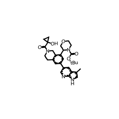 Cc1c[nH]c2ncc(-c3cc4c(c(C5COCCN5C(=O)OC(C)(C)C)c3)CN(C(=O)C3(O)CC3)CC4)cc12